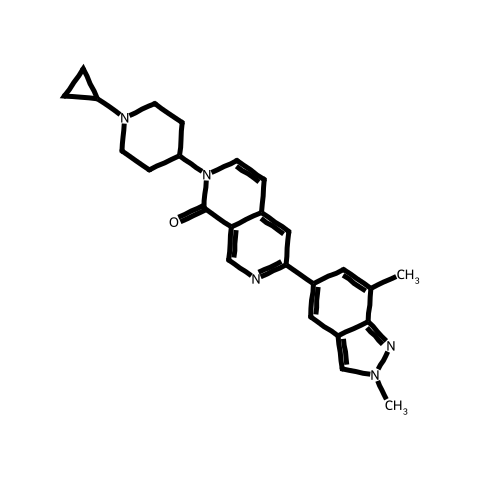 Cc1cc(-c2cc3ccn(C4CCN(C5CC5)CC4)c(=O)c3cn2)cc2cn(C)nc12